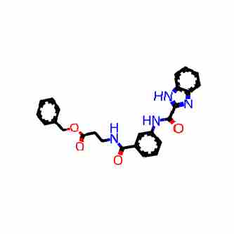 O=C(CCNC(=O)c1cccc(NC(=O)c2nc3ccccc3[nH]2)c1)OCc1ccccc1